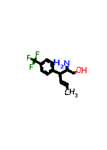 C/C=C/C(c1ccc(C(F)(F)F)cc1)C(N)CO